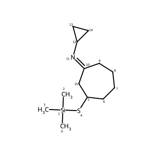 C[Si](C)(C)SC1CCCC/C(=N\C2CC2)C1